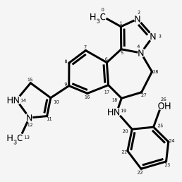 Cc1nnn2c1-c1ccc(C3=CN(C)NC3)cc1C(Nc1ccccc1O)CC2